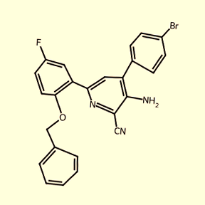 N#Cc1nc(-c2cc(F)ccc2OCc2ccccc2)cc(-c2ccc(Br)cc2)c1N